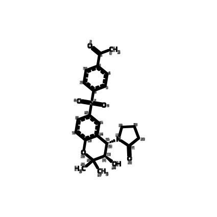 CC(=O)c1ccc(S(=O)(=O)c2ccc3c(c2)[C@H](N2CCCC2=O)[C@@H](O)C(C)(C)O3)cc1